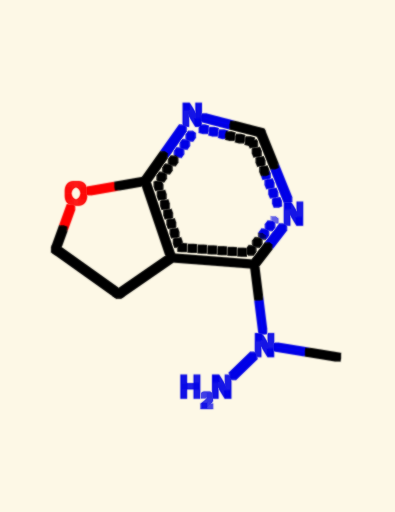 CN(N)c1ncnc2c1CCO2